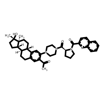 CC(=O)c1cc2c(cc1N1CCN(C(=O)[C@@H]3CCCN3C(=O)c3ccc4ccccc4n3)CC1)[C@H]1CC[C@@]3(C)[C@@H](CC[C@]3(C)O)[C@@H]1CC2